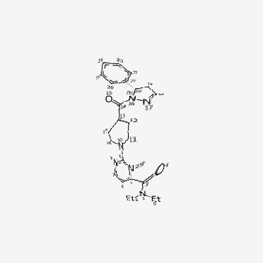 CCN(CC)C(=O)c1ccnc(N2CCC(C(=O)N3N=CC[C@H]3c3ccccc3)CC2)n1